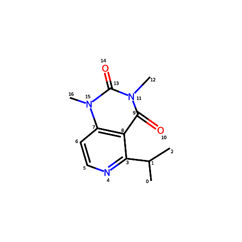 CC(C)c1nccc2c1c(=O)n(C)c(=O)n2C